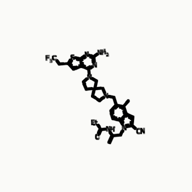 C=C(Cn1c(C#N)cc2c(C)c(CN3CCC4(CCN(c5nc(N)nc6sc(CC(F)(F)F)cc56)C4)C3)ccc21)NC(=O)CC